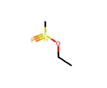 CCO[SH](C)#P